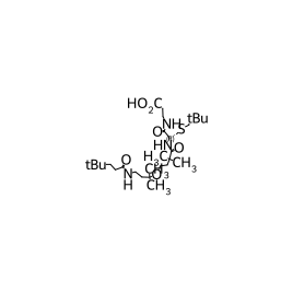 CC(C)(C)CCC(=O)NCCC(C)(C)OCCC(C)(C)C(=O)N[C@@H](CSCC(C)(C)C)C(=O)NCCC(=O)O